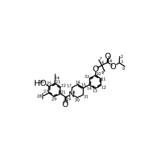 CC(C)OC(=O)C(C)(C)Oc1cccc(C2=CCN(C(=O)c3cc(I)c(O)c(I)c3)CC2)c1